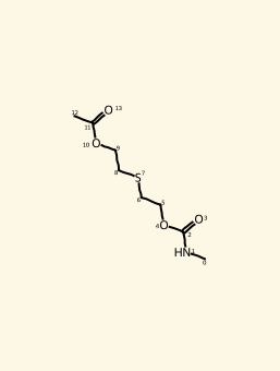 CNC(=O)OCCSCCOC(C)=O